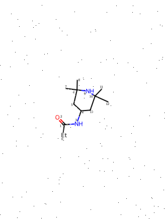 CCC(=O)NC1CC(C)(C)NC(C)(C)C1